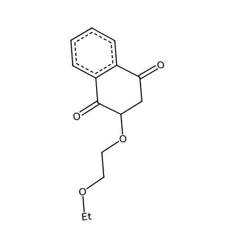 CCOCCOC1CC(=O)c2ccccc2C1=O